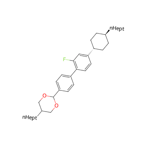 CCCCCCCC1COC(c2ccc(-c3ccc([C@H]4CC[C@H](CCCCCCC)CC4)cc3F)cc2)OC1